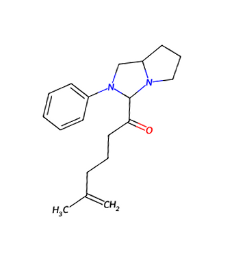 C=C(C)CCCC(=O)C1N(c2ccccc2)CC2CCCN21